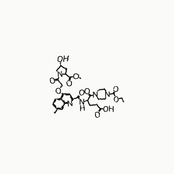 CCOC(=O)N1CCN(C(=O)C(CCC(=O)O)NC(=O)c2cc(OCC(=O)N3C[C@@H](O)CC3C(=O)OC)c3ccc(C)cc3n2)CC1